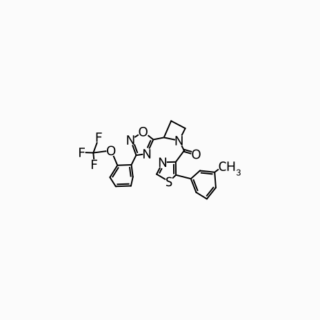 Cc1cccc(-c2scnc2C(=O)N2CCC2c2nc(-c3ccccc3OC(F)(F)F)no2)c1